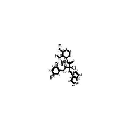 C=C(NC1CCCC(CF)C1CF)C(Cl)(Cn1ccc2sccc21)C(C=O)Cc1cccc(F)c1